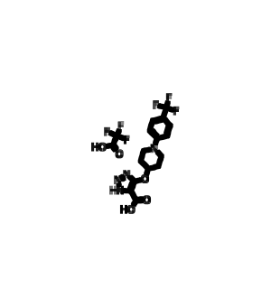 O=C(O)C(F)(F)F.O=C(O)c1[nH]nnc1OC1CCN(c2ccc(C(F)(F)F)cc2)CC1